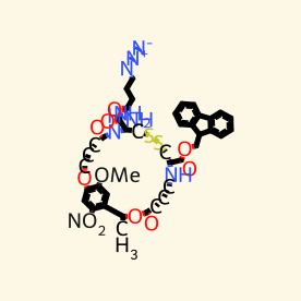 COc1cc2c([N+](=O)[O-])cc1OCCCC(=O)NC(NC(=O)CCCN=[N+]=[N-])(C(N)=O)CSSCC(C(=O)OCC1c3ccccc3-c3ccccc31)NCCCC(=O)OC2C